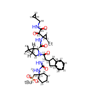 CC[C@@H]1CC1(NC(=O)[C@@H]1[C@@H]2[C@H](CN1C(=O)[C@@H](NC(=O)NC1([C@@H](C)S(=O)(=O)C(C)(C)C)CCCCC1)C1Cc3ccccc3C1)C2(C)C)C(=O)C(=O)NCC1CC1